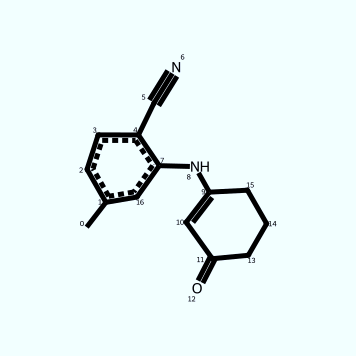 Cc1ccc(C#N)c(NC2=CC(=O)CCC2)c1